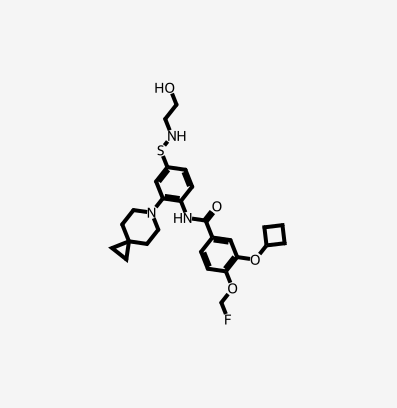 O=C(Nc1ccc(SNCCO)cc1N1CCC2(CC1)CC2)c1ccc(OCF)c(OC2CCC2)c1